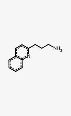 NCCCc1ccc2ccccc2n1